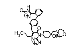 CCCc1c(Cc2ccc(-c3ccccc3-c3noc(=O)[nH]3)cc2)c(=O)n(C2CCC(O)(CN3CCOCC3)CC2)c2ncnn12